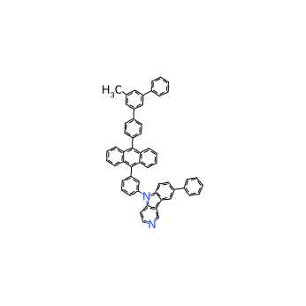 Cc1cc(-c2ccccc2)cc(-c2ccc(-c3c4ccccc4c(-c4cccc(-n5c6ccncc6c6cc(-c7ccccc7)ccc65)c4)c4ccccc34)cc2)c1